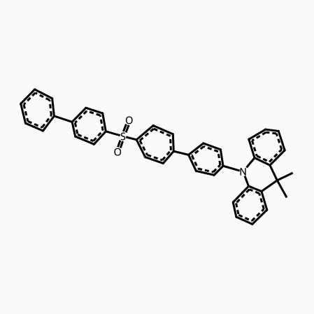 CC1(C)c2ccccc2N(c2ccc(-c3ccc(S(=O)(=O)c4ccc(-c5ccccc5)cc4)cc3)cc2)c2ccccc21